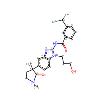 CN1CCC(C)(c2ccc3c(c2)nc(NC(=O)c2cccc(C(F)F)c2)n3CCCO)C1=O